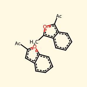 CC(=O)c1cc2ccccc2o1.CC(=O)c1oc(C)c2ccccc12